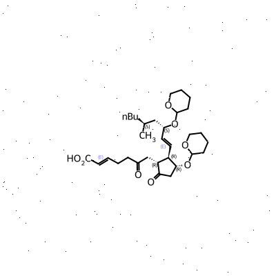 CCCC[C@H](C)C[C@@H](/C=C/[C@H]1[C@H](OC2CCCCO2)CC(=O)[C@@H]1CC(=O)CC/C=C/C(=O)O)OC1CCCCO1